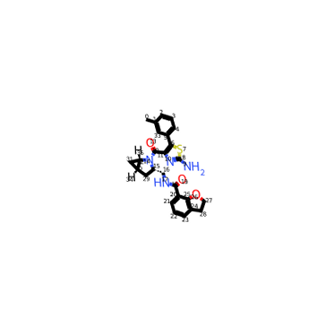 Cc1cccc(-c2sc(N)nc2C(=O)N2[C@H](CNC(=O)c3cccc4c3OCC4)C[C@@H]3C[C@@H]32)c1